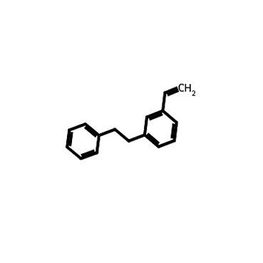 C=Cc1cccc(CCc2ccccc2)c1